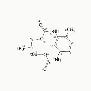 Cc1ccc(NC(=O)OC(C)(C)C)cc1NC(=O)OCCC(C)(C)C